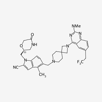 CNc1nc(N2CC3(CCN(Cc4ccc5c(cc(C#N)n5C[C@@H]5CNC(=O)CO5)c4C)CC3)C2)c2cc(CC(F)(F)F)ccc2n1